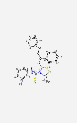 CCCC1CSC(CC(CCc2ccccc2)c2ccccc2)N1C(=S)Nc1cccc(I)c1